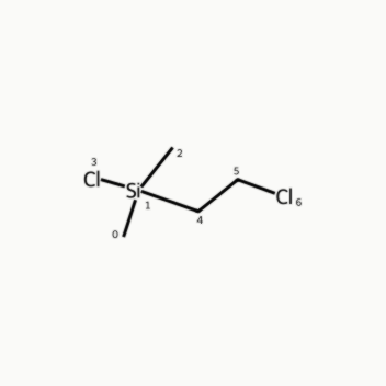 C[Si](C)(Cl)CCCl